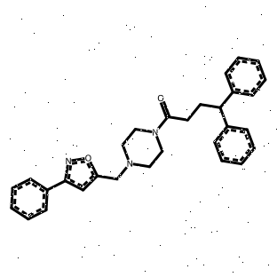 O=C(CCC(c1ccccc1)c1ccccc1)N1CCN(Cc2cc(-c3ccccc3)no2)CC1